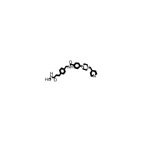 O=C(C=Cc1ccc(CNC(=O)c2ccc(N3CCN(Cc4ccncc4)CC3)cc2)cc1)NO